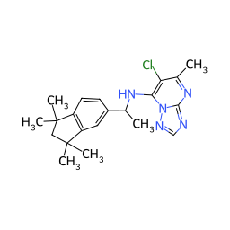 Cc1nc2ncnn2c(NC(C)c2ccc3c(c2)C(C)(C)CC3(C)C)c1Cl